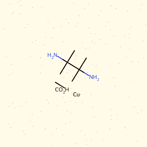 CC(=O)O.CC(C)(N)C(C)(C)N.[Cu]